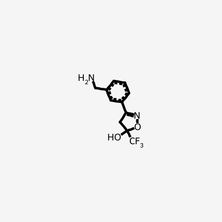 NCc1cccc(C2=NOC(O)(C(F)(F)F)C2)c1